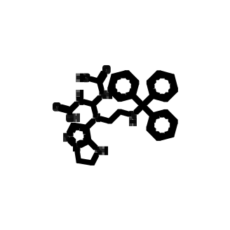 O=C(O)NC(NC(=O)O)N(CCNC(c1ccccc1)(c1ccccc1)c1ccccc1)c1cnn2c1NCC2